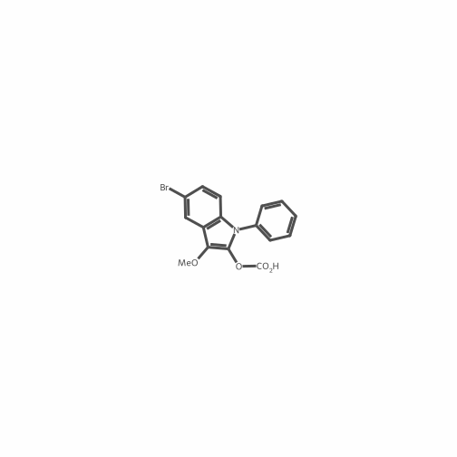 COc1c(OC(=O)O)n(-c2ccccc2)c2ccc(Br)cc12